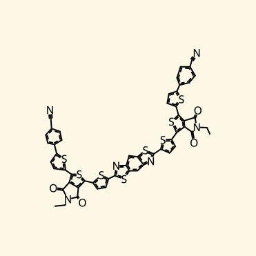 CCN1C(=O)c2c(-c3ccc(-c4ccc(C#N)cc4)s3)sc(-c3ccc(-c4nc5cc6sc(-c7ccc(-c8sc(-c9ccc(-c%10ccc(C#N)cc%10)s9)c9c8C(=O)N(CC)C9=O)s7)nc6cc5s4)s3)c2C1=O